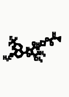 COc1ccc(-c2nc(C(=O)N[C@H]3C[C@@H](OC(=O)NC4CC4)C3)c([C@H](C)N)o2)c2ccc(C(F)(F)F)nc12